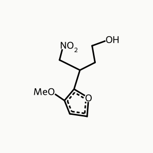 COc1ccoc1C(CCO)C[N+](=O)[O-]